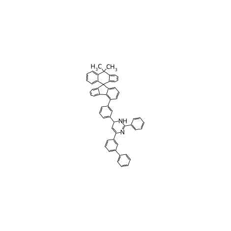 CC1(C)c2ccccc2C2(c3ccccc3-c3c(-c4cccc(C5C=C(c6cccc(-c7ccccc7)c6)N=C(c6ccccc6)N5)c4)cccc32)c2ccccc21